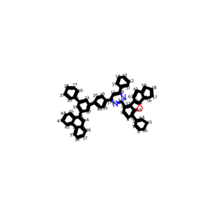 C1=CC(c2ccc(-c3nc(-c4ccccc4)cc(-c4ccc(-c5cc(-c6ccccc6)cc(-c6cc7ccccc7c7ccccc67)c5)cc4)n3)c3c2oc2c4ccccc4ccc23)=CCC1